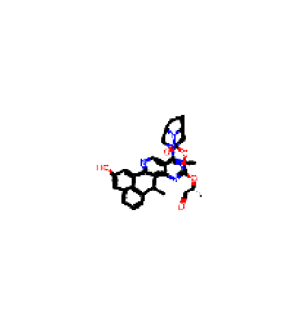 CC1c2c(ncc3c(N4CC5CCC(C4)N5C(=O)OC(C)(C)C)nc(O[C@H](C)C=O)nc23)-c2cc(O)cc3cccc1c23